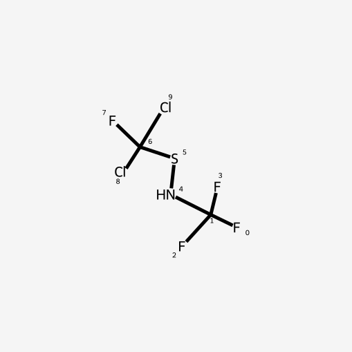 FC(F)(F)NSC(F)(Cl)Cl